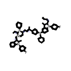 C=C/C=C\C1C(C)c2cc(N(C3=CCCC=C3)c3ccc(/C(C)=C/C=C(\C=C)N(/C(=C/C)N/C=C4/c5ccccc5N(c5ccc(F)cc5)C4C)c4ccccc4)cc3)ccc2N1c1ccc(F)cc1